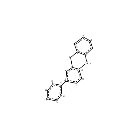 c1ccc2c(c1)Cc1cc(-c3ncncn3)ccc1O2